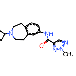 Cn1ncc(C(=O)Nc2ccc3c(c2)CCN(C2CCC2)CC3)n1